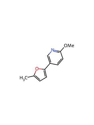 COc1ccc(-c2ccc(C)o2)cn1